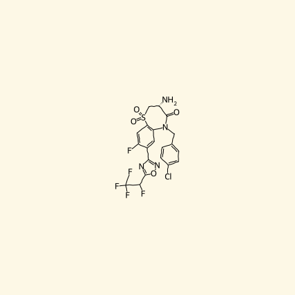 N[C@H]1CS(=O)(=O)c2cc(F)c(-c3noc(C(F)C(F)(F)F)n3)cc2N(Cc2ccc(Cl)cc2)C1=O